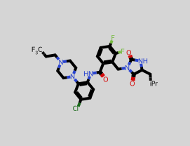 CC(C)CC1NC(=O)N(Cc2c(C(=O)Nc3ccc(Cl)cc3N3CCN(CCC(F)(F)F)CC3)ccc(F)c2F)C1=O